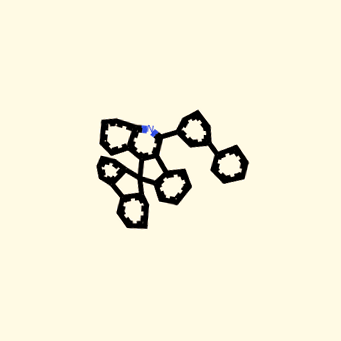 c1ccc(-c2cccc(-c3nc4ccccc4c4c3-c3ccccc3C43c4ccccc4-c4ccccc43)c2)cc1